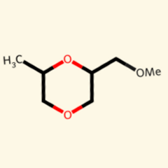 COCC1COCC(C)O1